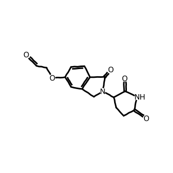 O=CCOc1ccc2c(c1)CN(C1CCC(=O)NC1=O)C2=O